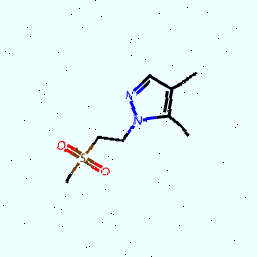 Cc1cnn(CCS(C)(=O)=O)c1C